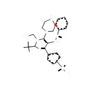 CCN1C(N2CCNCC2)=C(NS(=O)(=O)c2ccccc2)C(c2ccc(S(C)(=O)=O)cc2)=NC1C(F)(F)F